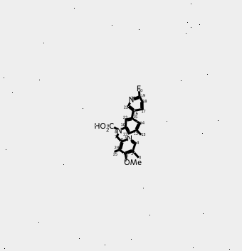 COc1c(C)cnc(CN(C(=O)O)c2cc(C)cc(-c3ccc(F)nc3)c2)c1C